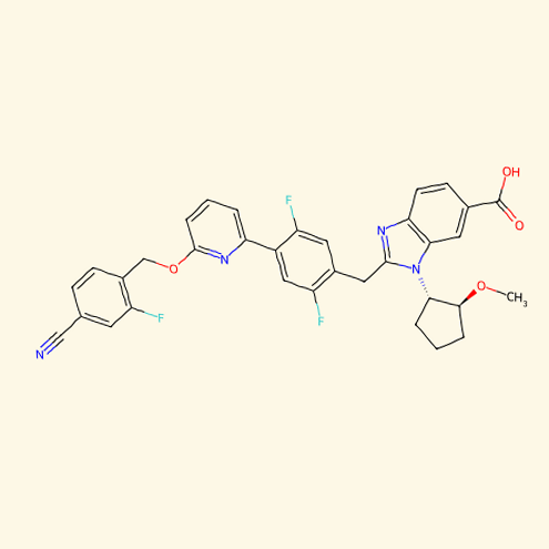 CO[C@H]1CCC[C@@H]1n1c(Cc2cc(F)c(-c3cccc(OCc4ccc(C#N)cc4F)n3)cc2F)nc2ccc(C(=O)O)cc21